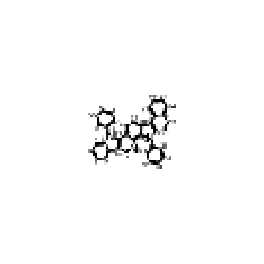 c1ccc(-n2c3ccccc3c3cnc4c(ccc5c6c7ccccc7ccc6n(-c6ccccc6)c54)c32)cc1